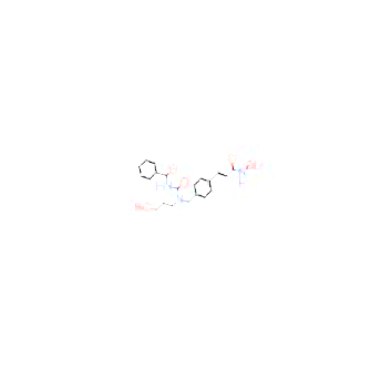 O=C(C=Cc1ccc(CN(CCCO)C(=O)NC(=O)c2ccccc2)cc1)NO